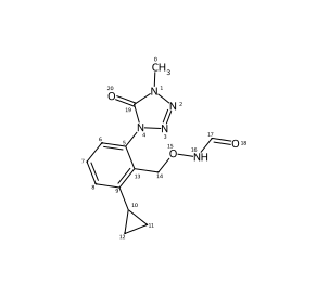 Cn1nnn(-c2cccc(C3CC3)c2CONC=O)c1=O